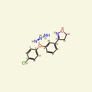 Clc1ccc(Oc2cccc(C3=NOCC3)c2)cc1.[N-]=[N+]=N